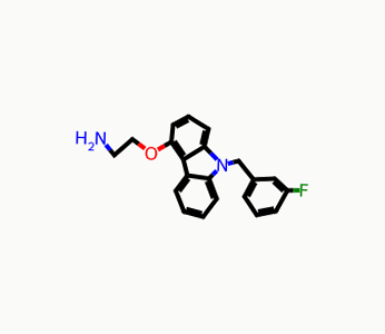 NCCOc1cccc2c1c1ccccc1n2Cc1cccc(F)c1